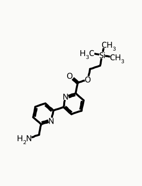 C[Si](C)(C)CCOC(=O)c1cccc(-c2cccc(CN)n2)n1